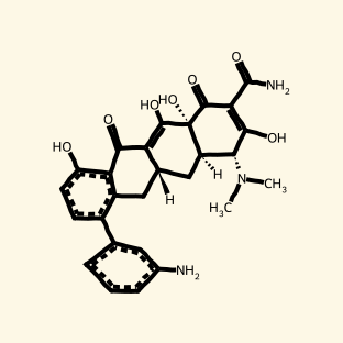 CN(C)[C@H]1C(O)=C(C(N)=O)C(=O)[C@]2(O)C(O)=C3C(=O)c4c(O)ccc(-c5cccc(N)c5)c4C[C@H]3C[C@H]12